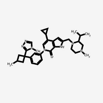 CC1CC(c2cccc(-n3cc(C4CC4)c4cc(CN5CCN(C)CC5C(C)C)[nH]c4c3=O)c2)(c2nncn2C)C1